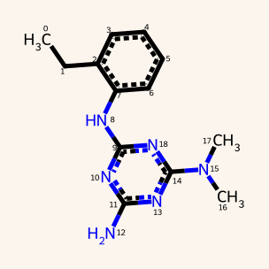 CCc1ccccc1Nc1nc(N)nc(N(C)C)n1